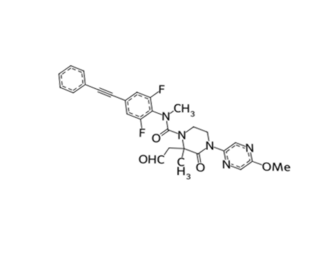 COc1cnc(N2CCN(C(=O)N(C)c3c(F)cc(C#Cc4ccccc4)cc3F)C(C)(CC=O)C2=O)cn1